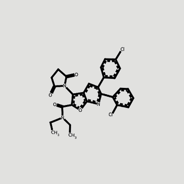 CCN(CC)C(=O)c1oc2nc(-c3ccccc3Cl)c(-c3ccc(Cl)cc3)cc2c1N1C(=O)CCC1=O